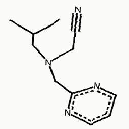 CC(C)CN(CC#N)Cc1ncccn1